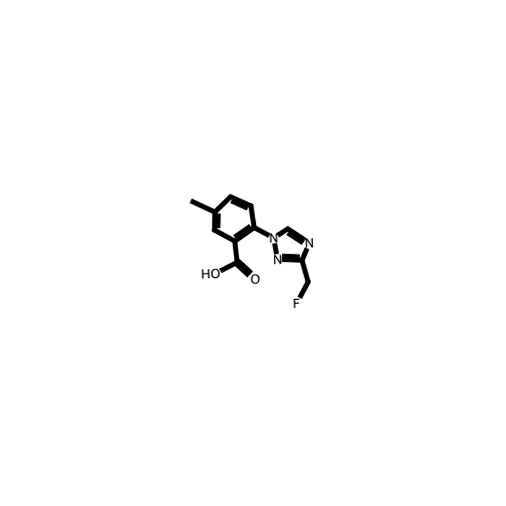 Cc1ccc(-n2cnc(CF)n2)c(C(=O)O)c1